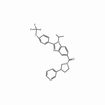 CC(C)n1c(-c2ccc(OC(F)(F)F)cc2)nc2cc(C(=O)N3CCC(c4cccnc4)C3)ccc21